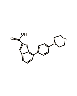 O=C(O)c1cc2cccc(-c3ccc(N4CCOCC4)cc3)c2s1